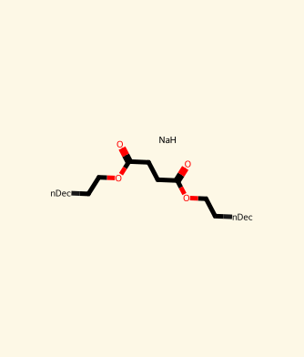 CCCCCCCCCCCCOC(=O)CCC(=O)OCCCCCCCCCCCC.[NaH]